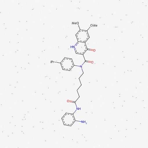 COc1cc2[nH]cc(C(=O)N(CCCCCC(=O)Nc3ccccc3N)c3ccc(C(C)C)cc3)c(=O)c2cc1OC